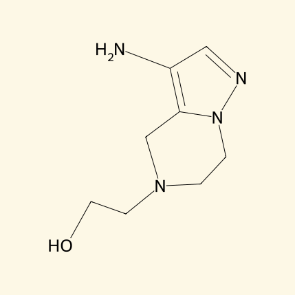 Nc1cnn2c1CN(CCO)CC2